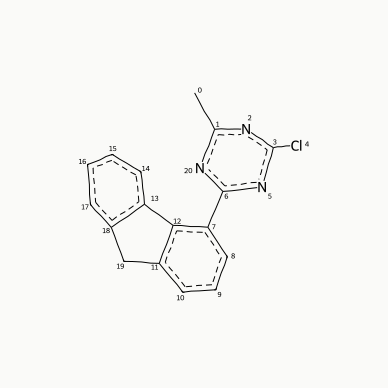 Cc1nc(Cl)nc(-c2cccc3c2-c2ccccc2C3)n1